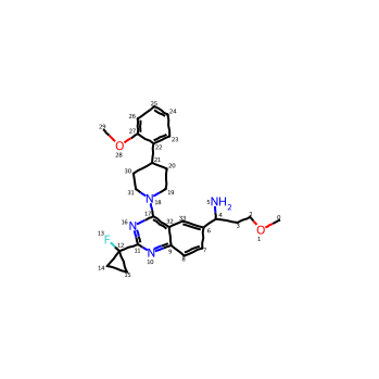 COCCC(N)c1ccc2nc(C3(F)CC3)nc(N3CCC(c4ccccc4OC)CC3)c2c1